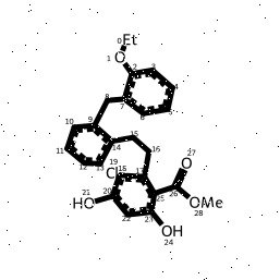 CCOc1ccccc1Cc1ccccc1CCc1c(Cl)c(O)cc(O)c1C(=O)OC